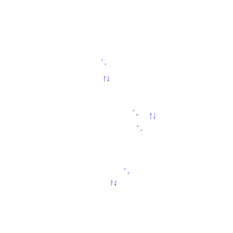 c1ccc(-c2nc(-c3cccc(-c4cccc(-c5nc6ccccc6n5-c5ccccc5)c4)c3)nc(-c3cccc(-c4cccc(-c5nc6ccccc6n5-c5ccccc5)c4)c3)n2)cc1